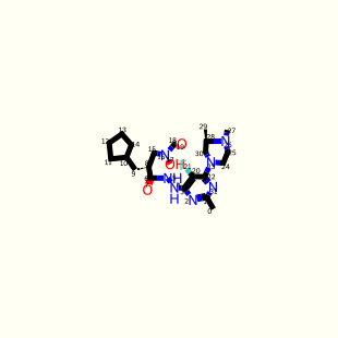 Cc1nc(NNC(=O)[C@H](CC2CCCC2)CN(O)C=O)c(F)c(N2CCN(C)[C@H](C)C2)n1